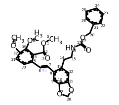 COC(=O)c1c(/C=C/c2cc3c(cc2CCNC(=O)OCc2ccccc2)OCO3)ccc(OC)c1OC